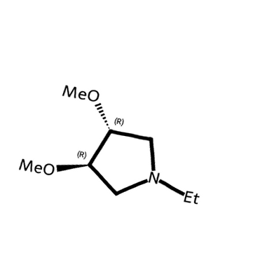 CCN1C[C@@H](OC)[C@H](OC)C1